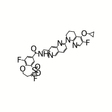 O=C(NCc1cc2nc(N3CCCc4c3ncc(F)c4OC3CC3)ccc2cn1)c1cc(F)c2c(c1)S(=O)(=O)[C@@H](F)CCO2